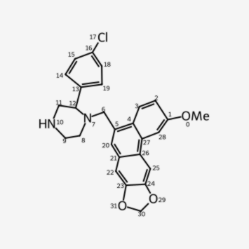 COc1ccc2c(CN3CCNCC3c3ccc(Cl)cc3)cc3cc4c(cc3c2c1)OCO4